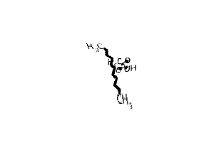 CCCCCCCCCCC.CS(=O)(=O)O